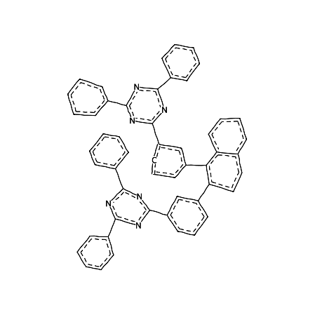 c1ccc(-c2nc(-c3ccccc3)nc(-c3cccc(-c4ccc5ccccc5c4-c4cccc(-c5nc(-c6ccccc6)nc(-c6ccccc6)n5)c4)c3)n2)cc1